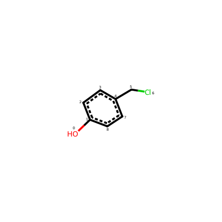 Oc1ccc(CCl)cc1